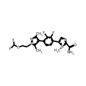 Cc1nn(CCOC(F)F)c(C)c1-c1ccc(-c2cnc(C(N)=O)n2C)c(F)c1F